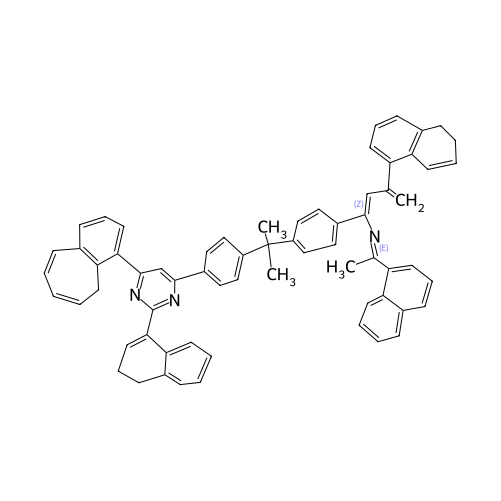 C=C(/C=C(\N=C(/C)c1cccc2ccccc12)c1ccc(C(C)(C)c2ccc(-c3cc(-c4cccc5c4CC=CC=C5)nc(C4=CCCc5ccccc54)n3)cc2)cc1)c1cccc2c1C=CCC2